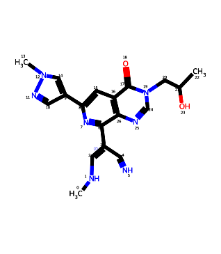 CN/C=C(\C=N)c1nc(-c2cnn(C)c2)cc2c(=O)n(CC(C)O)cnc12